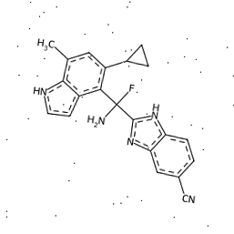 Cc1cc(C2CC2)c(C(N)(F)c2nc3cc(C#N)ccc3[nH]2)c2cc[nH]c12